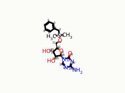 C[Si](C)(Cc1ccccc1)OC[C@H]1O[C@@H](n2cnc(N)nc2=O)[C@H](O)[C@@H]1O